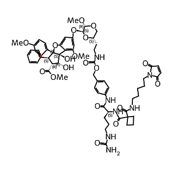 COC(=O)[C@H]1[C@@H](O)[C@@]2(O)c3c(OC)cc(O[C@@H]4O[C@@H](CCNC(=O)OCc5ccc(NC(=O)[C@H](CCCNC(N)=O)NC(=O)C6(C(=O)NCCCCCN7C(=O)C=CC7=O)CCC6)cc5)CO[C@H]4OC)cc3O[C@@]2(c2ccc(OC)cc2)[C@@H]1c1ccccc1